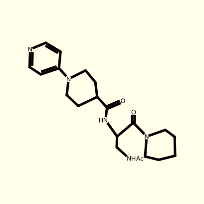 CC(=O)NCC(NC(=O)C1CCN(c2ccncc2)CC1)C(=O)N1CCCCC1